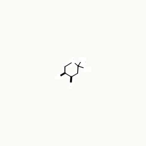 CC1(C)CC(=O)C(=O)CO1